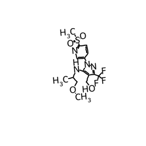 COCC(C)Nc1c(CO)c(C(F)(F)F)nn1-c1ccc(S(C)(=O)=O)nc1